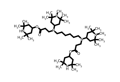 CN1C(C)(C)CC(N(CCCCCCN(CCC(=O)OC2CC(C)(C)NC(C)(C)C2)C2CC(C)(C)N(C)C(C)(C)C2)CCC(=O)OC2CC(C)(C)NC(C)(C)C2)CC1(C)C